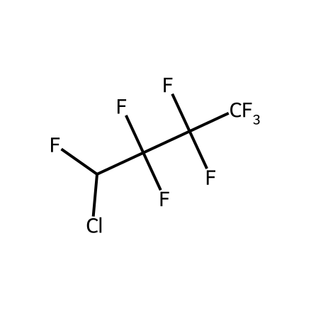 FC(Cl)C(F)(F)C(F)(F)C(F)(F)F